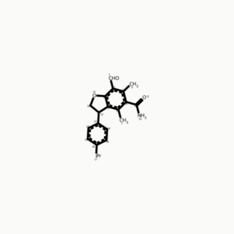 Cc1c(C=O)c2c(c(C)c1C(N)=O)C(c1ccc(C(C)C)cc1)CO2